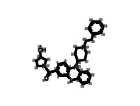 O=C(c1ccc2c(c1)Sc1ccccc1N2C1CCN(CCc2ccccc2)CC1)N1CCC(O)C1